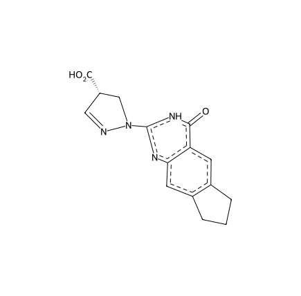 O=C(O)[C@H]1C=NN(c2nc3cc4c(cc3c(=O)[nH]2)CCC4)C1